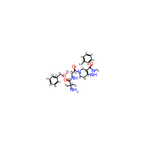 Cn1[nH]c2c(c1=O)[C@@H](Cc1ccccc1)N(C(=O)[C@@H](COCc1ccccc1)NC(=O)C(C)(C)N)CC2